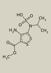 COC(=O)c1scc(N(C(C)C)S(=O)(=O)O)c1N